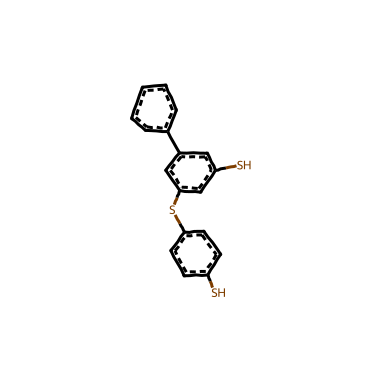 Sc1ccc(Sc2cc(S)cc(-c3ccccc3)c2)cc1